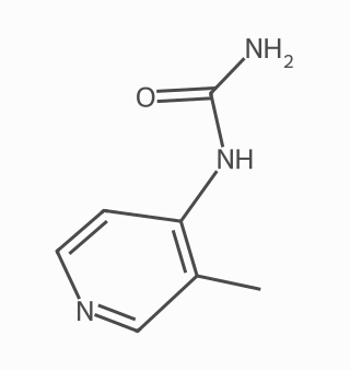 Cc1cnccc1NC(N)=O